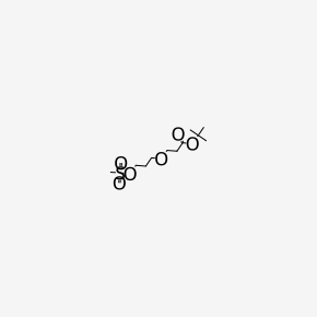 CC(C)(C)OC(=O)CCOCCCOS(C)(=O)=O